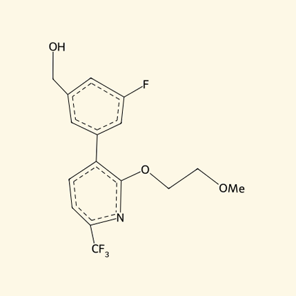 COCCOc1nc(C(F)(F)F)ccc1-c1cc(F)cc(CO)c1